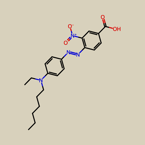 CCCCCCN(CC)c1ccc(N=Nc2ccc(C(=O)O)cc2[N+](=O)[O-])cc1